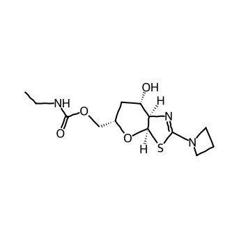 CCNC(=O)OC[C@@H]1C[C@H](O)[C@H]2N=C(N3CCC3)S[C@H]2O1